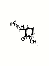 CC(C)NCc1cccn(C)c1=O